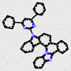 c1ccc(-c2cc(-c3ccccc3)nc(-n3c4ccccc4c4c3ccc3c5ccccc5c5nc6ccccc6n5c34)n2)cc1